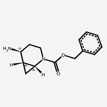 N[C@H]1CCN(C(=O)OCc2ccccc2)[C@@H]2C[C@@H]21